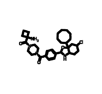 NC1(C(=O)N2CCN(C(=O)c3ccc(C4NC5CCC(Cl)CC5(C5CCCCCCC5)O4)cc3)CC2)CCC1